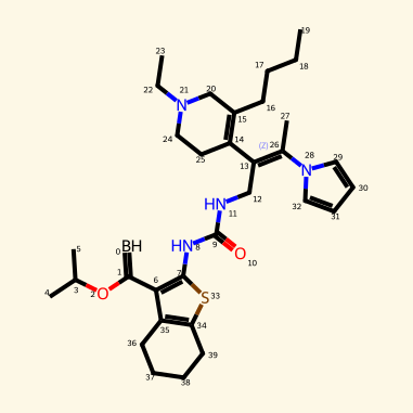 B=C(OC(C)C)c1c(NC(=O)NC/C(C2=C(CCCC)CN(CC)CC2)=C(/C)n2cccc2)sc2c1CCCC2